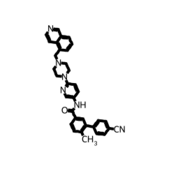 Cc1ccc(C(=O)Nc2ccc(N3CCN(Cc4cccc5cnccc45)CC3)nc2)cc1-c1ccc(C#N)cc1